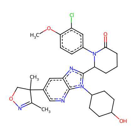 COc1ccc(N2C(=O)CCCC2c2nc3cc(C4(C)CON=C4C)cnc3n2C2CCC(O)CC2)cc1Cl